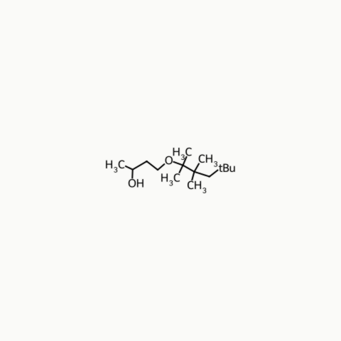 CC(O)CCOC(C)(C)C(C)(C)CC(C)(C)C